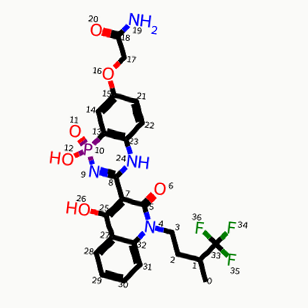 CC(CCn1c(=O)c(C2=NP(=O)(O)c3cc(OCC(N)=O)ccc3N2)c(O)c2ccccc21)C(F)(F)F